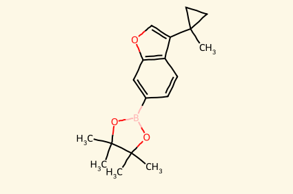 CC1(c2coc3cc(B4OC(C)(C)C(C)(C)O4)ccc23)CC1